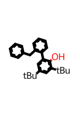 CC(C)(C)c1cc(-c2ccccc2Cc2ccccc2)c(O)c(C(C)(C)C)c1